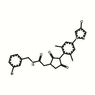 Cc1cc(-n2cc(Cl)cn2)cc(C)c1C1C(=O)CC(CC(=O)NCc2cccc(Br)c2)C1=O